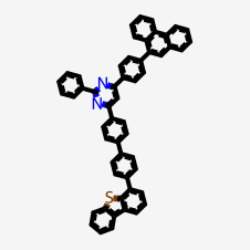 c1ccc(-c2nc(-c3ccc(-c4ccc(-c5cccc6c5sc5ccccc56)cc4)cc3)cc(-c3ccc(-c4cc5ccccc5c5ccccc45)cc3)n2)cc1